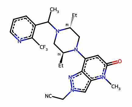 CC[C@H]1CN(C(C)c2cccnc2C(F)(F)F)[C@H](CC)CN1c1cc(=O)n(C)c2cn(CC#N)nc12